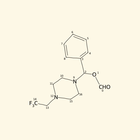 O=COC(c1ccccc1)N1CCN(CC(F)(F)F)CC1